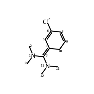 CN(C)C(=C1C=C(Cl)C=CC1)N(C)C